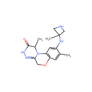 Cc1cc2c(cc1NC1(C)CNC1)N1C(=NNC(=O)C1C)CO2